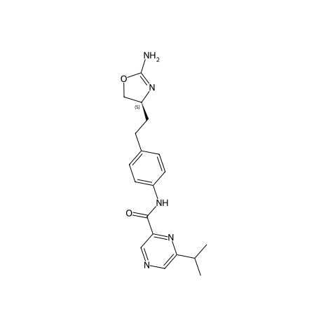 CC(C)c1cncc(C(=O)Nc2ccc(CC[C@H]3COC(N)=N3)cc2)n1